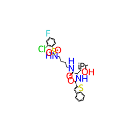 CC(C)[C@@H](O)[C@H](NC(=O)c1cc2ccccc2s1)C(=O)NCCCCNS(=O)(=O)c1ccc(F)cc1Cl